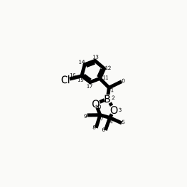 CC(B1OC(C)(C)C(C)(C)O1)c1cccc(Cl)c1